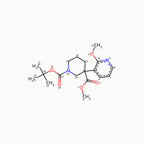 COC(=O)C1(c2cccnc2OC)CCCN(C(=O)OC(C)(C)C)C1